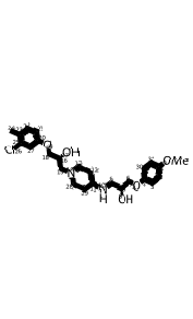 COc1ccc(OC[C@@H](O)CNC2CCN(C[C@H](O)COc3ccc(C)c(Cl)c3)CC2)cc1